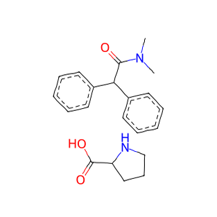 CN(C)C(=O)C(c1ccccc1)c1ccccc1.O=C(O)C1CCCN1